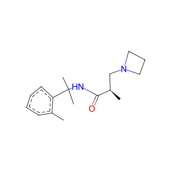 Cc1ccccc1C(C)(C)NC(=O)[C@H](C)CN1CCC1